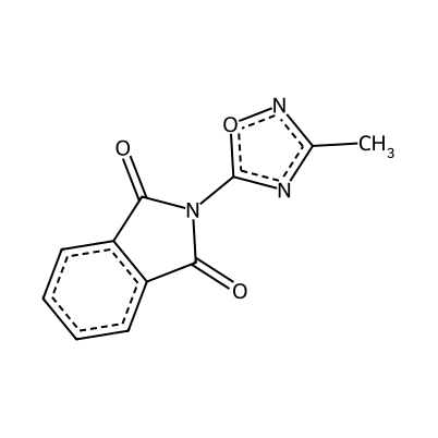 Cc1noc(N2C(=O)c3ccccc3C2=O)n1